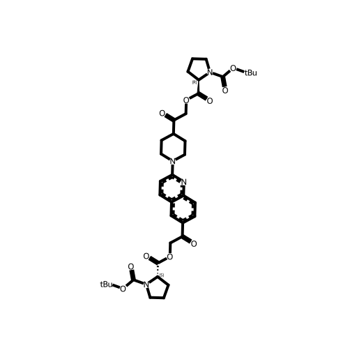 CC(C)(C)OC(=O)N1CCC[C@@H]1C(=O)OCC(=O)C1CCN(c2ccc3cc(C(=O)COC(=O)[C@@H]4CCCN4C(=O)OC(C)(C)C)ccc3n2)CC1